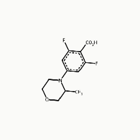 O=C(O)c1c(F)cc(N2CCOCC2C(F)(F)F)cc1F